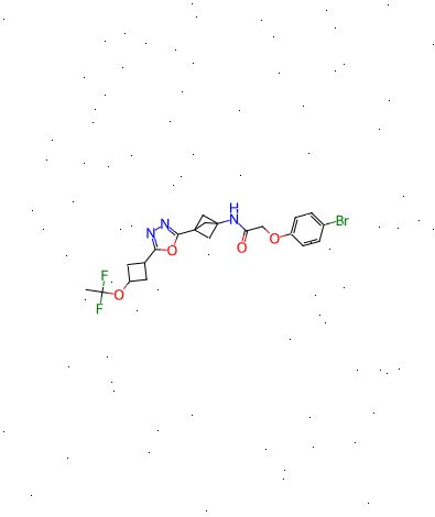 CC(F)(F)OC1CC(c2nnc(C34CC(NC(=O)COc5ccc(Br)cc5)(C3)C4)o2)C1